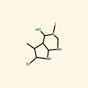 CCC1NC2NCN(I)C(O)C2C1C